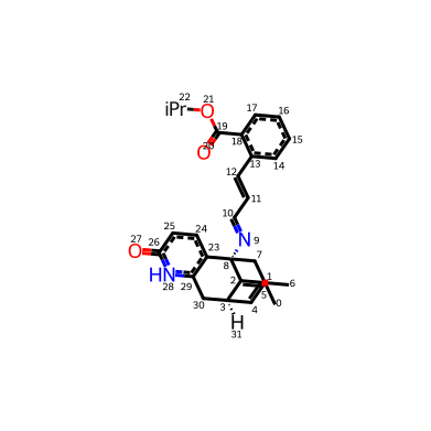 C/C=C1\[C@H]2C=C(C)C[C@]1(/N=C/C=C/c1ccccc1C(=O)OC(C)C)c1ccc(=O)[nH]c1C2